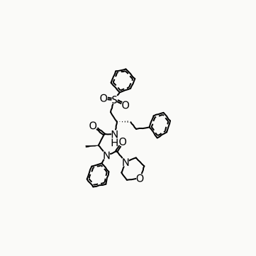 C[C@@H](C(=O)N[C@@H](CCc1ccccc1)CS(=O)(=O)c1ccccc1)N(C(=O)N1CCOCC1)c1ccccc1